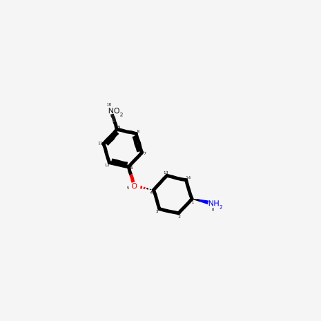 N[C@H]1CC[C@H](Oc2ccc([N+](=O)[O-])cc2)CC1